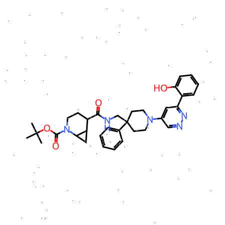 CC(C)(C)OC(=O)N1CCC(C(=O)NCC2(c3ccccc3)CCN(c3cnnc(-c4ccccc4O)c3)CC2)C2CC21